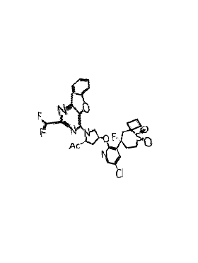 CC(=O)[C@@H]1C[C@H](Oc2ncc(Cl)cc2[C@]2(F)CCS(=O)(=O)C3(CCC3)C2)CN1c1nc(C(F)F)nc2c1oc1ccccc12